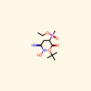 CCOP(C)(=O)C(CC(=N)NO)C(=O)OC(C)(C)C